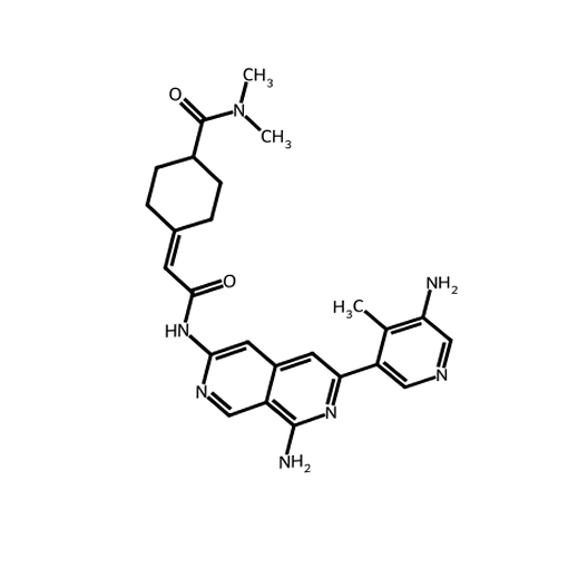 Cc1c(N)cncc1-c1cc2cc(NC(=O)C=C3CCC(C(=O)N(C)C)CC3)ncc2c(N)n1